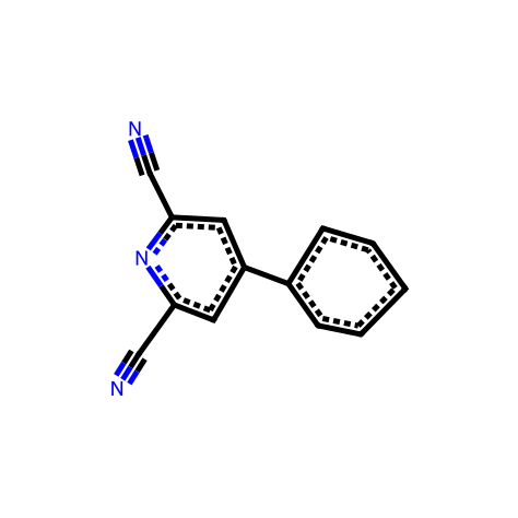 N#Cc1cc(-c2ccccc2)cc(C#N)n1